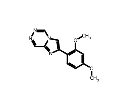 COc1ccc(-c2cn3cnncc3n2)c(OC)c1